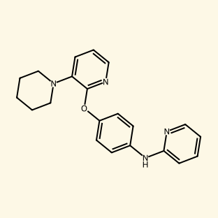 c1ccc(Nc2ccc(Oc3ncccc3N3CCCCC3)cc2)nc1